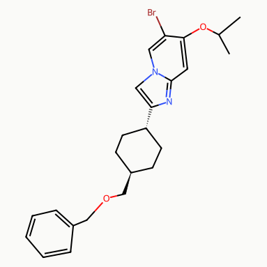 CC(C)Oc1cc2nc([C@H]3CC[C@H](COCc4ccccc4)CC3)cn2cc1Br